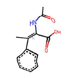 CC(=O)N/C(C(=O)O)=C(\C)c1ccccc1